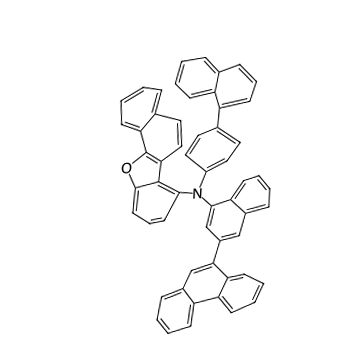 c1ccc2c(-c3ccc(N(c4cc(-c5cc6ccccc6c6ccccc56)cc5ccccc45)c4cccc5oc6c7ccccc7ccc6c45)cc3)cccc2c1